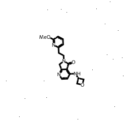 COc1cccc(CCN2Cc3nccc(NC4COC4)c3C2=O)n1